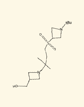 CC(C)(C)N1CC(S(=O)(=O)CCC(C)(C)N2CC(CO)C2)C1